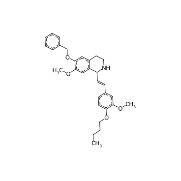 CCCCOc1ccc(/C=C/C2NCCc3cc(OCc4ccccc4)c(OC)cc32)cc1OC